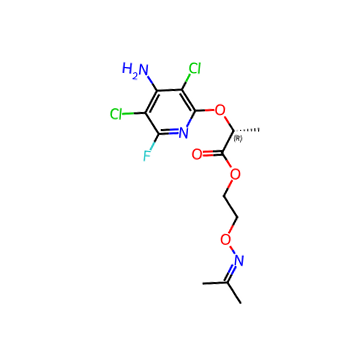 CC(C)=NOCCOC(=O)[C@@H](C)Oc1nc(F)c(Cl)c(N)c1Cl